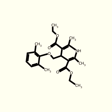 CCOC(=O)C1=C(C)NC(C)=C(C(=O)OCC)C1COc1c(C)cccc1C